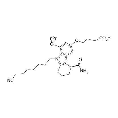 CCCOc1cc(OCCCC(=O)O)cc2c3c(n(CCCCCCCC#N)c12)CCC[C@@H]3C(N)=O